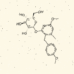 COc1ccc(Cc2c(C)cc(OC)nc2OC2O[C@H](CO)[C@@H](O)[C@H](O)[C@H]2O)cc1